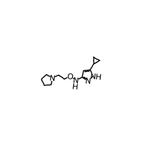 c1c(NOCCN2CCCC2)n[nH]c1C1CC1